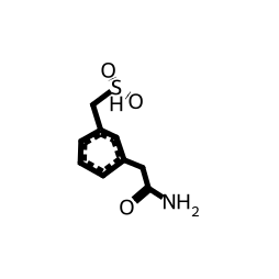 NC(=O)Cc1cccc(C[SH](=O)=O)c1